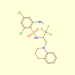 Nc1cc(Cl)cc(Cl)c1S(=O)(=O)NC(CN1CCCc2ccccc21)C(F)(F)F